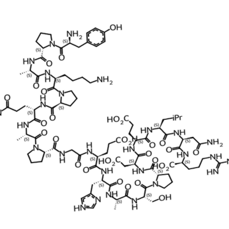 CC(C)C[C@H](NC(=O)[C@H](CCC(=O)O)NC(=O)[C@H](CC(=O)O)NC(=O)[C@@H]1CCCN1C(=O)[C@H](CO)NC(=O)[C@H](C)NC(=O)[C@H](Cc1c[nH]cn1)NC(=O)[C@H](CCC(=O)O)NC(=O)CNC(=O)[C@@H]1CCCN1C(=O)[C@H](C)NC(=O)[C@H](CCC(N)=O)NC(=O)[C@@H]1CCCN1C(=O)[C@H](CCCCN)NC(=O)[C@H](C)NC(=O)[C@@H]1CCCN1C(=O)[C@@H](N)Cc1ccc(O)cc1)C(=O)N[C@@H](CC(N)=O)C(=O)N[C@@H](CCCNC(=N)N)C(=O)O